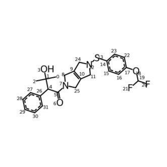 CC(C)(O)C(C(=O)N1CC2=C(CN(Sc3ccc(OC(F)F)cc3)C2)C1)c1ccccc1